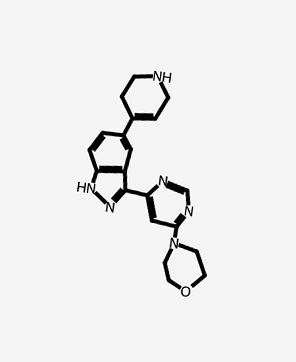 C1=C(c2ccc3[nH]nc(-c4cc(N5CCOCC5)ncn4)c3c2)CCNC1